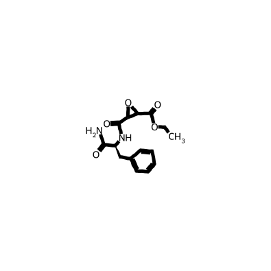 CCOC(=O)C1OC1C(=O)N[C@@H](Cc1ccccc1)C(N)=O